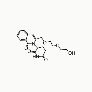 O=C1CCC(n2c(COCCOCCO)cc3ccccc3c2=O)C(=O)N1